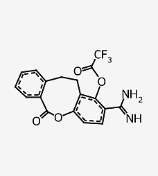 N=C(N)c1ccc2c(c1OC(=O)C(F)(F)F)CCc1ccccc1C(=O)O2